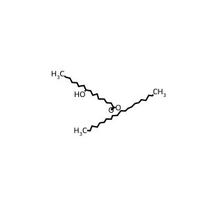 CCCCCCCCCCC(CCCCCCCCCC)OC(=O)CCCCCCCC(O)CCCCCCC